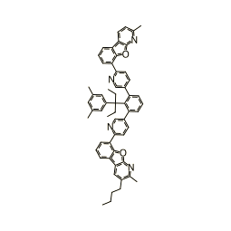 CCCCc1cc2c(nc1C)oc1c(-c3ccc(-c4cccc(-c5ccc(-c6cccc7c6oc6nc(C)ccc67)nc5)c4C(CC)(CC)c4cc(C)cc(C)c4)cn3)cccc12